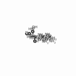 N=C(N)NC(NC(=O)C(NC(=N)N)NC(=O)C(NC(=N)N)NC(=O)C(NC(=N)N)NC(=O)C(NC(=O)C(O)N(Cc1ccc(NOO)cc1)c1ccc2ncccc2c1N)c1ccccc1)C(N)=O